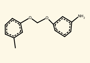 Cc1cccc(OCOc2cccc(N)c2)c1